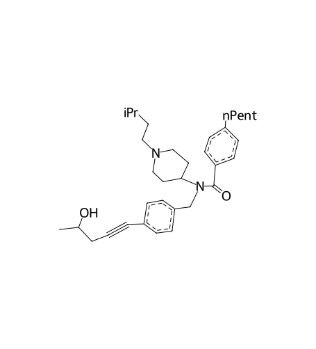 CCCCCc1ccc(C(=O)N(Cc2ccc(C#CCC(C)O)cc2)C2CCN(CCC(C)C)CC2)cc1